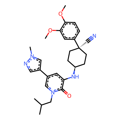 COc1ccc([C@]2(C#N)CC[C@H](Nc3cc(-c4cnn(C)c4)cn(CC(C)C)c3=O)CC2)cc1OC